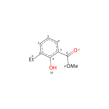 CCc1cccc(C(=O)OC)c1O